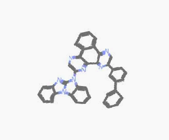 c1ccc(-c2cccc(-c3cnc4c5ccccc5c5ncc(-n6c7ccccc7n7c8ccccc8nc67)nc5c4n3)c2)cc1